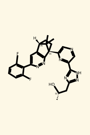 C[C@H](O)Cc1n[nH]c(-c2cncc([C@@]34CC[C@@H](c5cc(-c6c(F)cccc6F)nnc53)C4(C)C)n2)n1